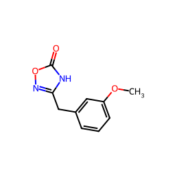 COc1cccc(Cc2noc(=O)[nH]2)c1